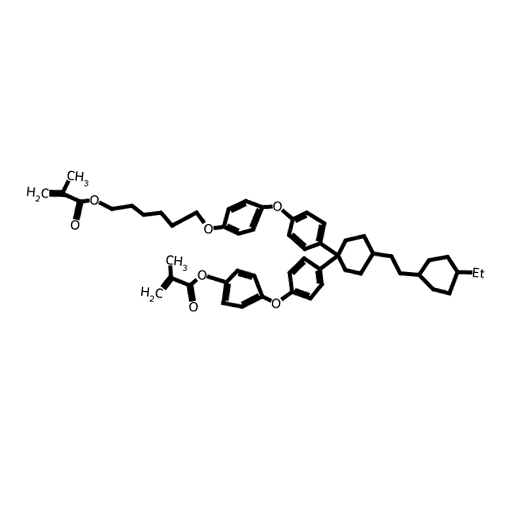 C=C(C)C(=O)OCCCCCCOc1ccc(Oc2ccc(C3(c4ccc(Oc5ccc(OC(=O)C(=C)C)cc5)cc4)CCC(CCC4CCC(CC)CC4)CC3)cc2)cc1